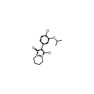 CC(C)Oc1cc(-c2c(Cl)n3n(c2=O)CCCC3)ccc1Cl